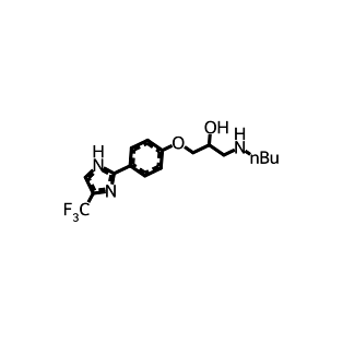 CCCCNCC(O)COc1ccc(-c2nc(C(F)(F)F)c[nH]2)cc1